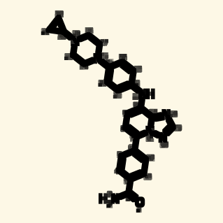 NC(=O)c1ccc(-c2ccc(Nc3ccc(N4CCN(C5CC5)CC4)cc3)c3ncnn23)cc1